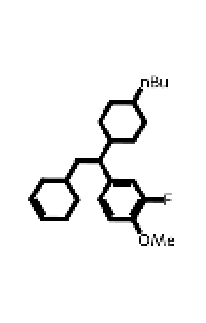 CCCCC1CCC(C(CC2CC=CCC2)c2ccc(OC)c(F)c2)CC1